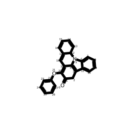 O=C1Cc2c3n(c4ccccc24)C2C=CC=CC2=CC3=C1Oc1ccccc1